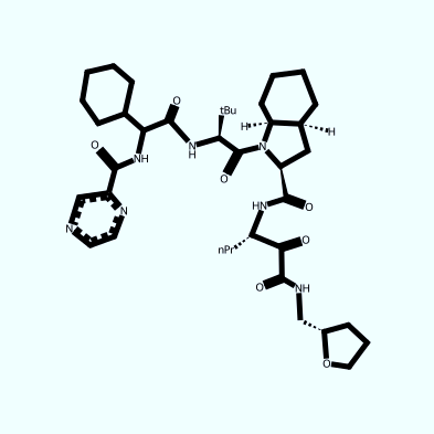 CCC[C@H](NC(=O)[C@@H]1C[C@@H]2CCCC[C@@H]2N1C(=O)[C@@H](NC(=O)C(NC(=O)c1cnccn1)C1CCCCC1)C(C)(C)C)C(=O)C(=O)NC[C@@H]1CCCO1